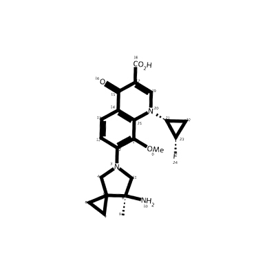 COc1c(N2CC3(CC3)[C@](C)(N)C2)ccc2c(=O)c(C(=O)O)cn([C@@H]3C[C@@H]3F)c12